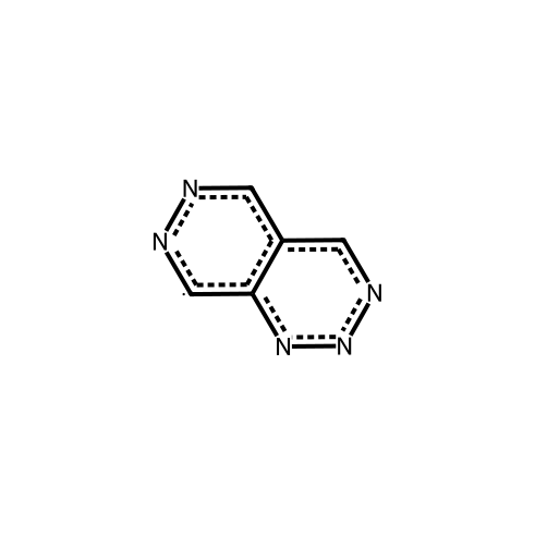 [c]1nncc2cnnnc12